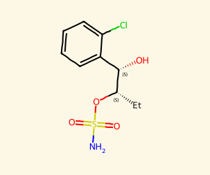 CC[C@H](OS(N)(=O)=O)[C@@H](O)c1ccccc1Cl